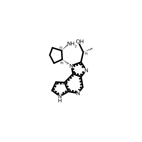 C[C@@H](O)c1nc2cnc3[nH]ccc3c2n1[C@@H]1CCC[C@@H]1N